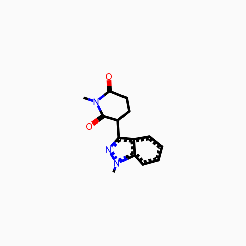 CN1C(=O)CCC(c2nn(C)c3ccccc23)C1=O